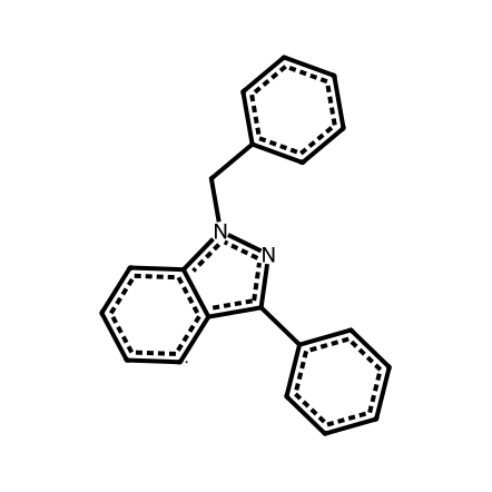 [c]1cccc2c1c(-c1ccccc1)nn2Cc1ccccc1